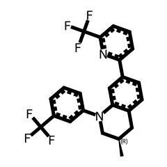 C[C@@H]1Cc2ccc(-c3cccc(C(F)(F)F)n3)cc2N(c2cccc(C(F)(F)F)c2)C1